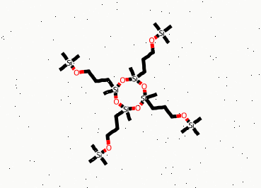 C[Si](C)(C)OCCC[Si]1(C)O[Si](C)(CCCO[Si](C)(C)C)O[Si](C)(CCCO[Si](C)(C)C)O[Si](C)(CCCO[Si](C)(C)C)O1